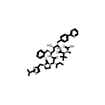 CCC(C)[C@@H](C(=O)N[C@@H](Cc1ccccc1)C[C@H](O)[C@H](Cc1ccc(-c2ccccn2)cc1)NC(=O)[C@@H](N(C)C(=O)O)C(C)(C)C)N1CCN(Cc2csc(C(C)C)n2)C1=O